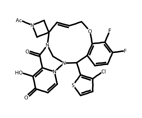 CC(=O)N1CC2(/C=C/COc3c(ccc(F)c3F)C(c3sccc3Cl)N3CN2C(=O)c2c(O)c(=O)ccn23)C1